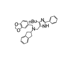 CCCCc1nc(-c2ccccc2)[nH]c1CN(Cc1ccc2c(c1)OCO2)C1Cc2ccccc2C1